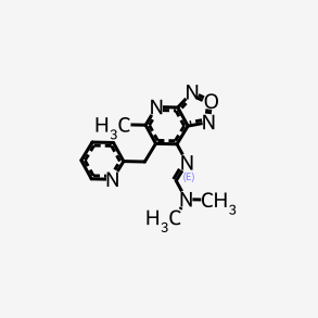 Cc1nc2nonc2c(/N=C/N(C)C)c1Cc1ccccn1